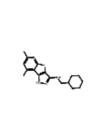 Cc1cc(C)c2c(n1)sc1c(NCC3CCCCC3)n[nH]c12